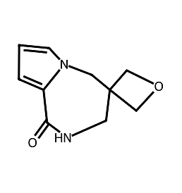 O=C1NCC2(COC2)Cn2cccc21